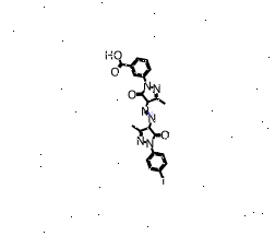 CC1=NN(c2ccc(I)cc2)C(=O)C1/N=N/C1C(=O)N(c2cccc(C(=O)O)c2)N=C1C